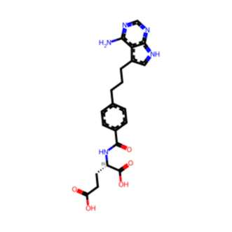 Nc1ncnc2[nH]cc(CCCc3ccc(C(=O)N[C@@H](CCC(=O)O)C(=O)O)cc3)c12